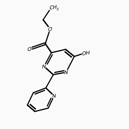 CCOC(=O)c1cc(O)nc(-c2ccccn2)n1